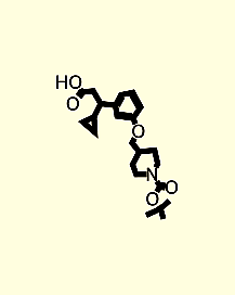 CC(C)(C)OC(=O)N1CCC(COc2cccc(C(CC(=O)O)C3CC3)c2)CC1